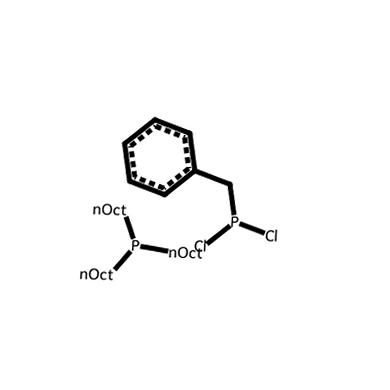 CCCCCCCCP(CCCCCCCC)CCCCCCCC.ClP(Cl)Cc1ccccc1